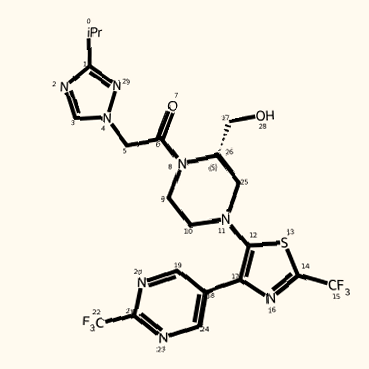 CC(C)c1ncn(CC(=O)N2CCN(c3sc(C(F)(F)F)nc3-c3cnc(C(F)(F)F)nc3)C[C@H]2CO)n1